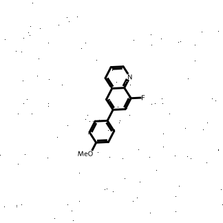 COc1c[c]c(-c2cc(F)c3ncccc3c2)cc1